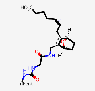 CCCCCNC(=O)NCC(=O)NC[C@H]1[C@@H](C/C=C\CCCC(=O)O)[C@H]2CC[C@@H]1O2